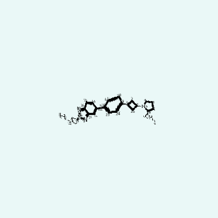 C[C@@H]1CCCN1[C@H]1C[C@H](c2ccc(-c3ccc4nn(C)nc4c3)cc2)C1